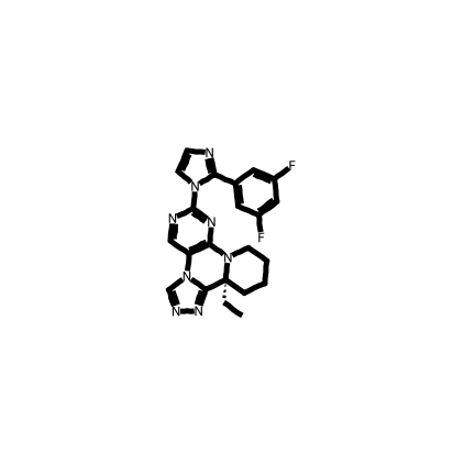 CC[C@@]12CCCCN1c1nc(-n3ccnc3-c3cc(F)cc(F)c3)ncc1-n1cnnc12